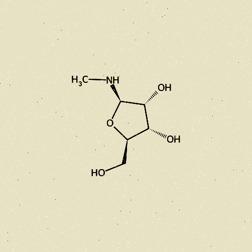 CN[C@@H]1O[C@H](CO)[C@@H](O)[C@H]1O